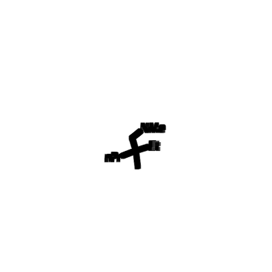 CCCC(C)(CC)CNC